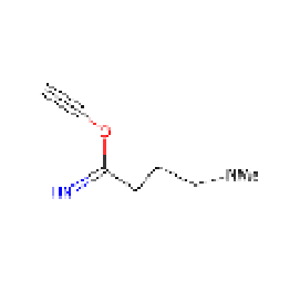 C#COC(=N)CCCNC